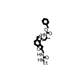 CCNC(=O)NCc1cc2c(ccc3cnn(C[C@H](C)NC(=O)OCc4ccccc4)c32)o1